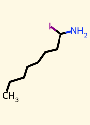 CCCCCCCC(N)I